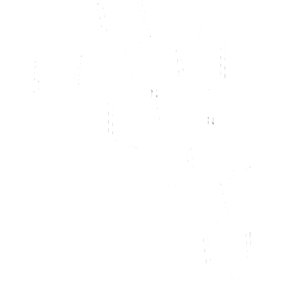 C1=C(c2ccccc2)C(c2ccccc2)N(c2ccccc2)c2c1ccc1c(-c3ccccc3)ccnc21